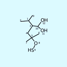 CC(C)C(CC(C)(C)OS)C(O)O